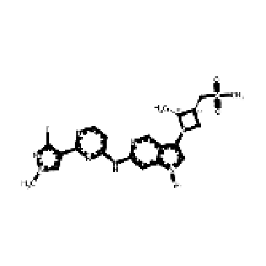 CC(C)n1cc(N2C[C@H](CS(C)(=O)=O)[C@H]2C)c2cnc(Nc3ccnc(-c4cn(C)nc4F)n3)cc21